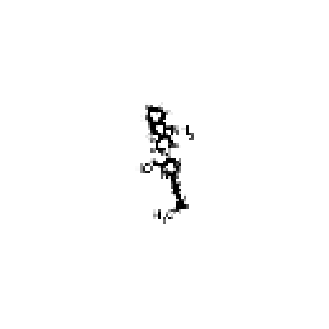 CC1CC1C#Cc1cnc(N2CCC3(CC2)Cc2ccccc2[C@H]3N)c(CO)n1